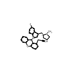 C#CCc1cccc2c1[C@H](n1cc(C[C@@H]3CCCN3C)c3cc(F)ccc31)c1ccccc1O2